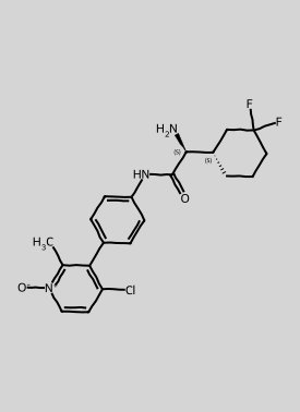 Cc1c(-c2ccc(NC(=O)[C@@H](N)[C@H]3CCCC(F)(F)C3)cc2)c(Cl)cc[n+]1[O-]